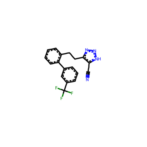 N#Cc1[nH]nnc1CCc1ccccc1-c1cccc(C(F)(F)F)c1